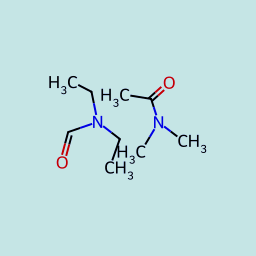 CC(=O)N(C)C.CCN(C=O)CC